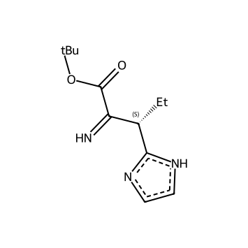 CC[C@@H](C(=N)C(=O)OC(C)(C)C)c1ncc[nH]1